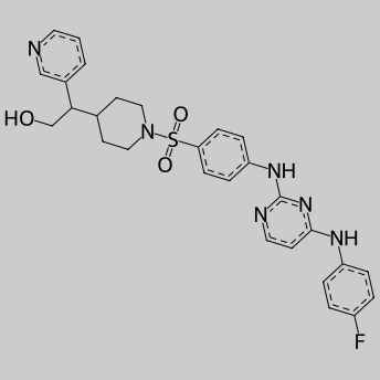 O=S(=O)(c1ccc(Nc2nccc(Nc3ccc(F)cc3)n2)cc1)N1CCC(C(CO)c2cccnc2)CC1